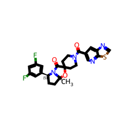 C[C@@]12CC[C@@H](c3cc(F)cc(F)c3)N1C(=O)C1(CCN(C(=O)c3cnc4scnc4c3)CC1)O2